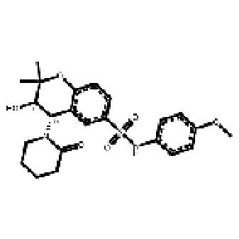 COc1ccc(NS(=O)(=O)c2ccc3c(c2)[C@H](N2CCCCC2=O)[C@@H](O)C(C)(C)O3)cc1